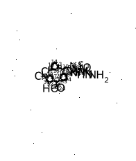 NNC(=O)NC(=S)N1N=C2C=C(c3cccc(Cl)c3)c3cc(C(C(=O)O)c4ccc(Cl)cc4)ccc3N2N1